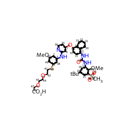 COc1cc(Nc2cc(Oc3ccc(NC(=O)Nc4cc(C(C)(C)C)cc(S(C)(=O)=O)c4OC)c4ccccc34)ccn2)cc(SCCOCCOCC(=O)O)c1